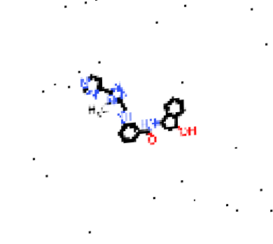 Cn1c(CNc2cccc(C(=O)NC3CC(O)c4ccccc43)c2)nnc1-c1ccncn1